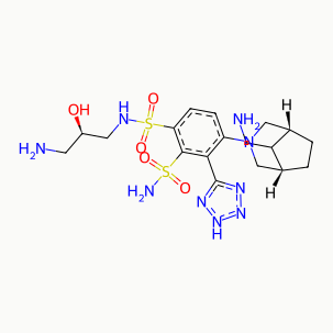 NCC1[C@@H]2CC[C@H]1CN(c1ccc(S(=O)(=O)NC[C@H](O)CN)c(S(N)(=O)=O)c1-c1nn[nH]n1)C2